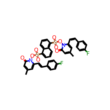 Cc1cc(C=Cc2ccc(F)cc2)n(OS(=O)(=O)c2cccc3c(S(=O)(=O)On4c(C=Cc5ccc(F)cc5)cc(C)cc4=O)cccc23)c(=O)c1